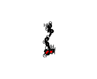 Cn1c(=O)n(C2CCC(=O)NC2=O)c2cccc(C#CCOC3CCN(C(=O)c4ccc(NC(=O)[C@@H]5NC6(CCCCC6)[C@@]6(C(=O)Nc7cc(Cl)ccc76)[C@H]5c5cccc(Cl)c5F)cc4)CC3)c21